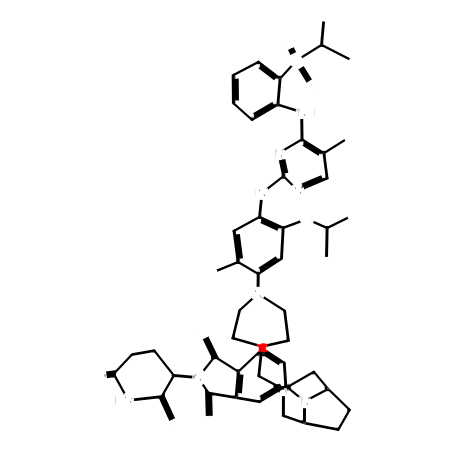 Cc1cc(Nc2ncc(Cl)c(Nc3ccccc3S(=O)(=O)C(C)C)n2)c(OC(C)C)cc1N1CCC(CN2CC3CCC(C2)N3c2ccc3c(c2)C(=O)N(C2CCC(=O)NC2=O)C3=O)CC1